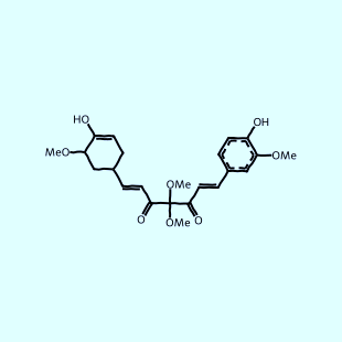 COc1cc(C=CC(=O)C(OC)(OC)C(=O)C=CC2CC=C(O)C(OC)C2)ccc1O